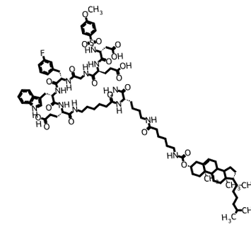 COc1ccc(S(=O)(=O)N[C@H](CC(=O)O)C(=O)N[C@@H](CCC(=O)O)C(=O)NCC(=O)N[C@@H](Cc2cccc(F)c2)C(=O)N[C@@H](Cc2c[nH]c3ccccc23)C(=O)N[C@@H](CCC(=O)O)C(=O)NCCCCCC(=O)N[C@@H](CCCCNC(=O)CCCCCNC(=O)O[C@H]2CC[C@@]3(C)C(=CCC4C3CC[C@@]3(C)C4CC[C@@H]3[C@H](C)CCCC(C)C)C2)C(N)=O)cc1